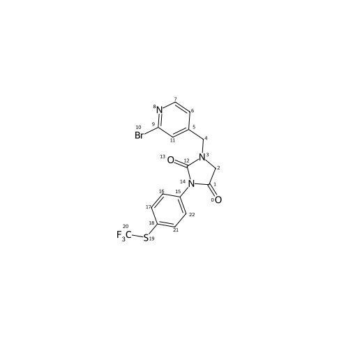 O=C1CN(Cc2ccnc(Br)c2)C(=O)N1c1ccc(SC(F)(F)F)cc1